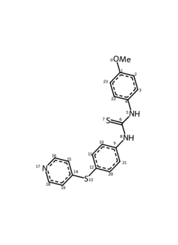 COc1ccc(NC(=S)Nc2ccc(Sc3ccncc3)cc2)cc1